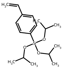 C=Cc1ccc([Si](OC(C)C)(OC(C)C)OC(C)C)cc1